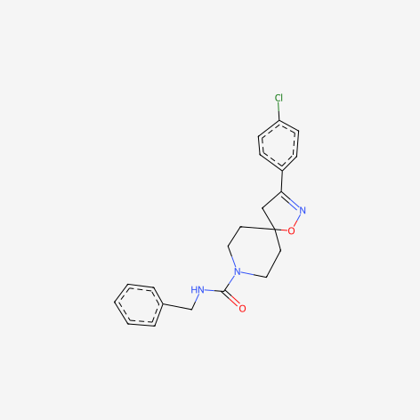 O=C(NCc1ccccc1)N1CCC2(CC1)CC(c1ccc(Cl)cc1)=NO2